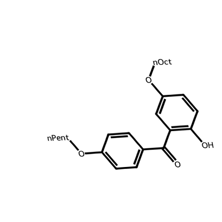 CCCCCCCCOc1ccc(O)c(C(=O)c2ccc(OCCCCC)cc2)c1